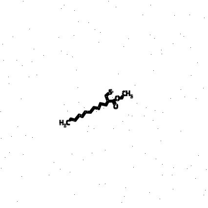 CCCCCCCCCCCC(C[S])C(=O)OCC